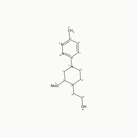 COC1CN(c2ccc(C)nn2)CCC1CCO